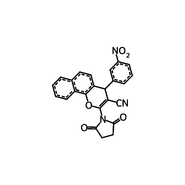 N#CC1=C(N2C(=O)CCC2=O)Oc2c(ccc3ccccc23)C1c1cccc([N+](=O)[O-])c1